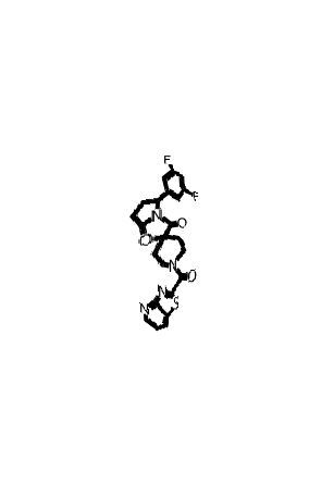 O=C(c1nc2ncccc2s1)N1CCC2(CC1)OC1CCC(c3cc(F)cc(F)c3)N1C2=O